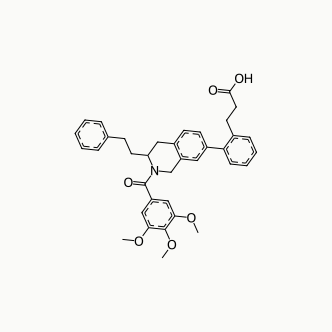 COc1cc(C(=O)N2Cc3cc(-c4ccccc4CCC(=O)O)ccc3CC2CCc2ccccc2)cc(OC)c1OC